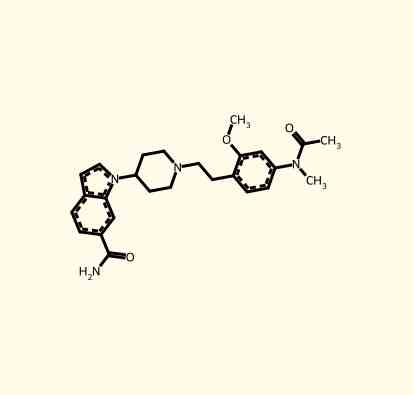 COc1cc(N(C)C(C)=O)ccc1CCN1CCC(n2ccc3ccc(C(N)=O)cc32)CC1